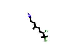 C/C(=C\CC#N)CC[C@H](Br)C(C)(C)Br